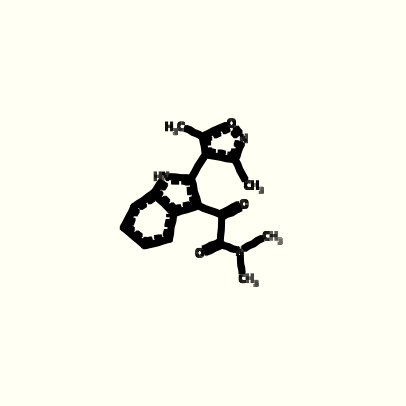 Cc1noc(C)c1-c1[nH]c2ccccc2c1C(=O)C(=O)N(C)C